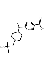 CN(c1ccc(C(=O)O)cc1)C1CCN(CC(C)(C)O)CC1